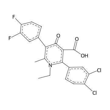 CCn1c(C)c(-c2ccc(F)c(F)c2)c(=O)c(C(=O)O)c1-c1ccc(Cl)c(Cl)c1